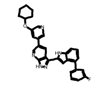 Fc1cccc(-c2cccc3[nH]c(-c4n[nH]c5ncc(-c6cncc(OC7CCCCC7)c6)cc45)cc23)c1